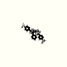 CN(C)c1ccc(-c2noc(-c3ccccc3-n3c(-c4ccc(N(C)C)cc4)noc3=O)n2)cc1